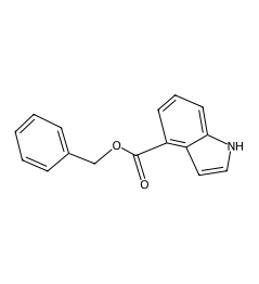 O=C(OCc1ccccc1)c1cccc2[nH]ccc12